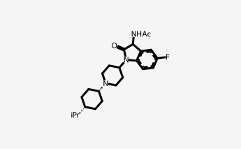 CC(=O)NC1C(=O)N(C2CCN([C@H]3CC[C@@H](C(C)C)CC3)CC2)c2ccc(F)cc21